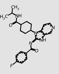 CC(C)NC(=O)C1CCC(n2/c(=N/C(=O)c3ccc(F)cc3)[nH]c3cnccc32)CC1